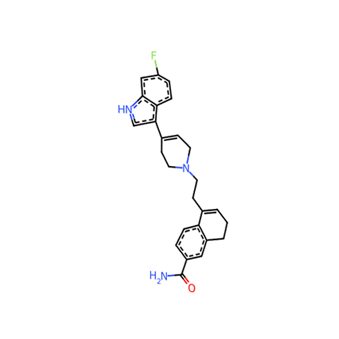 NC(=O)c1ccc2c(c1)CCC=C2CCN1CC=C(c2c[nH]c3cc(F)ccc23)CC1